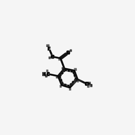 Cc1ccc(C)c(C(=O)OF)c1